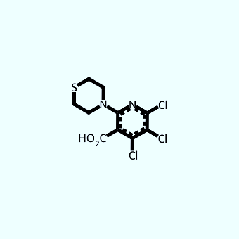 O=C(O)c1c(N2CCSCC2)nc(Cl)c(Cl)c1Cl